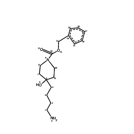 NCCCCC1(O)CCN(C(=O)OCc2ccccc2)CC1